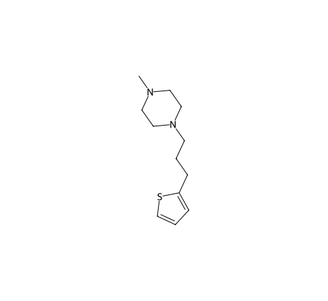 CN1CCN(CCCc2cccs2)CC1